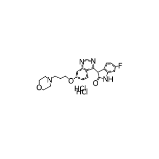 Cl.Cl.O=C1Nc2cc(F)ccc2C1c1ncnc2cc(OCCCN3CCOCC3)ccc12